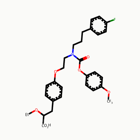 CCOC(Cc1ccc(OCCN(CCCc2ccc(F)cc2)C(=O)Oc2ccc(OC(F)(F)F)cc2)cc1)C(=O)O